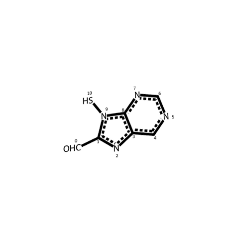 O=Cc1nc2cncnc2n1S